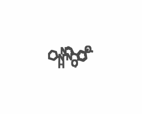 COc1ccc(OC)c(-c2ccnc(NC3CCCCC3)n2)c1